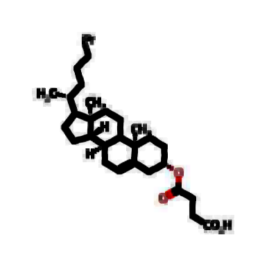 CC(C)CCC[C@@H](C)C1CC[C@H]2[C@@H]3CC=C4C[C@@H](OC(=O)CCC(=O)O)CC[C@]4(C)C3CC[C@]12C